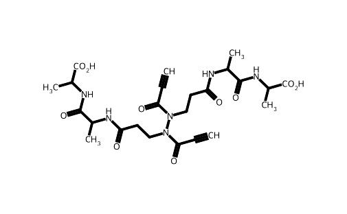 C#CC(=O)N(CCC(=O)NC(C)C(=O)NC(C)C(=O)O)N(CCC(=O)NC(C)C(=O)NC(C)C(=O)O)C(=O)C#C